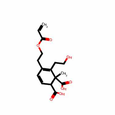 C=CC(=O)OCCC1=C(CCO)C(C)(C(=O)O)C(C(=O)O)C=C1